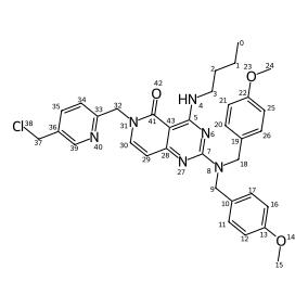 CCCCNc1nc(N(Cc2ccc(OC)cc2)Cc2ccc(OC)cc2)nc2ccn(Cc3ccc(CCl)cn3)c(=O)c12